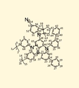 CC(C)(C)c1cccc(N2c3cc(C(C)(C)C)ccc3B3c4ccc(-c5ccccc5)cc4N(c4cccc(-c5ccccc5)c4)c4cc(N5c6ccc(C#N)cc6C6(C)CCCC56C)cc2c43)c1